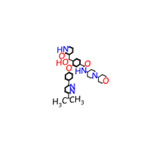 CC(C)c1ccc(-c2ccc(Oc3cc(C(=O)NC4CCN(C5CCOCC5)CC4)ccc3C(O)c3ccc[nH]c3=O)cc2)nn1